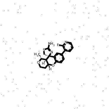 C[C@H]1OCC[C@H]2Oc3ccc(-c4cccnc4F)cc3[C@@]3(CSC(N)=N3)[C@H]12